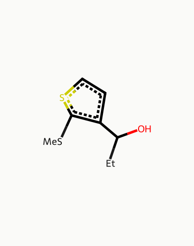 CCC(O)c1ccsc1SC